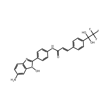 Nc1ccc2nc(-c3ccc(NC(=O)/C=C/c4ccc(C(O)(O)C(F)(F)F)cc4)cc3)n(O)c2c1